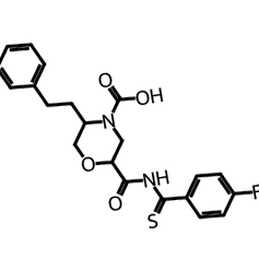 O=C(NC(=S)c1ccc(F)cc1)C1CN(C(=O)O)C(CCc2ccccc2)CO1